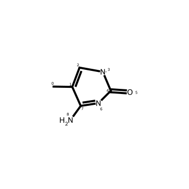 CC1=C[N]C(=O)N=C1N